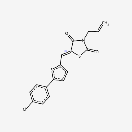 C=CCN1C(=O)S/C(=C\c2ccc(-c3ccc(Cl)cc3)s2)C1=O